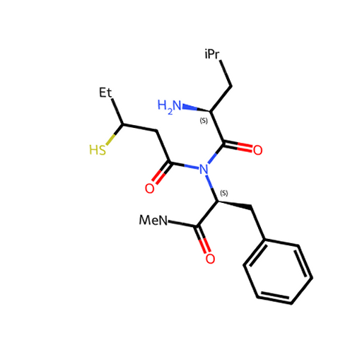 CCC(S)CC(=O)N(C(=O)[C@@H](N)CC(C)C)[C@@H](Cc1ccccc1)C(=O)NC